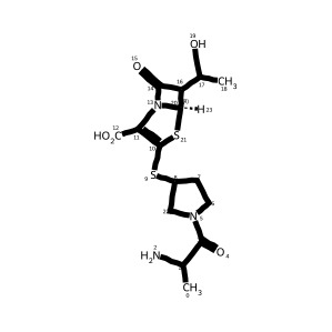 CC(N)C(=O)N1CCC(SC2=C(C(=O)O)N3C(=O)C(C(C)O)[C@H]3S2)C1